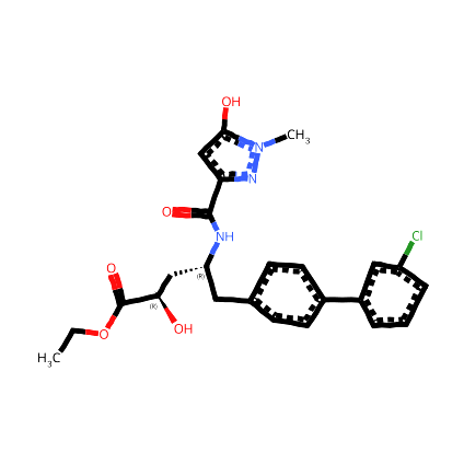 CCOC(=O)[C@H](O)C[C@@H](Cc1ccc(-c2cccc(Cl)c2)cc1)NC(=O)c1cc(O)n(C)n1